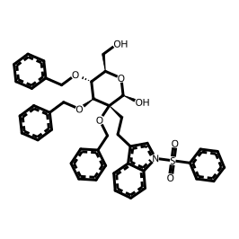 O=S(=O)(c1ccccc1)n1cc(CC[C@]2(OCc3ccccc3)[C@H](O)O[C@H](CO)[C@@H](OCc3ccccc3)[C@@H]2OCc2ccccc2)c2ccccc21